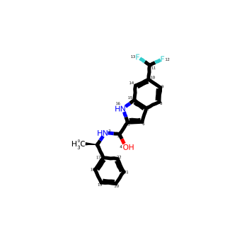 C[C@@H](NC(O)c1cc2ccc(C(F)F)cc2[nH]1)c1ccccc1